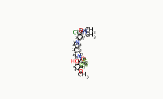 COc1cccc(C(O)(C(=O)N2CCC(CC3CCN(c4ccc(C(=O)N(C)C)c(Cl)c4)CC3)CC2)C(F)(F)C(F)(F)F)c1